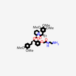 CC[C@H](C(=O)N1CCCC[C@H]1C(=O)O[C@H](CCc1ccc(OC)c(OC)c1)c1cccc(OCC(=O)NCCN)c1)c1cc(OC)c(OC)c(OC)c1